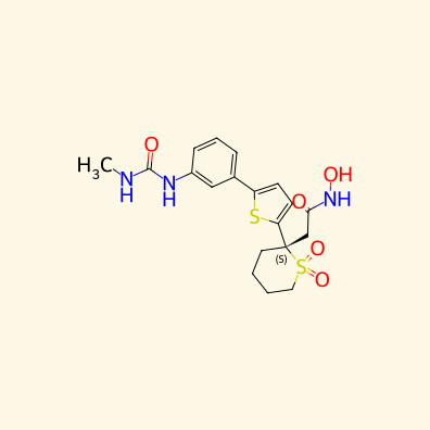 CNC(=O)Nc1cccc(-c2ccc([C@@]3(CC(=O)NO)CCCCS3(=O)=O)s2)c1